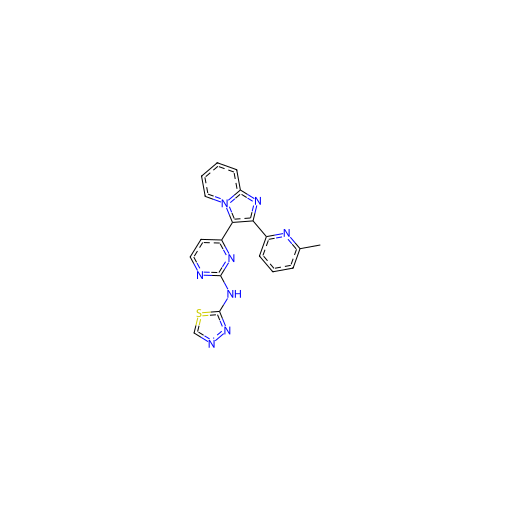 Cc1cccc(-c2nc3ccccn3c2-c2ccnc(Nc3nncs3)n2)n1